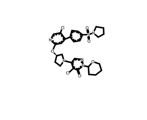 O=c1c(Cl)c(N2CC[C@@H](Oc3cc(-c4ccc(S(=O)(=O)N5CCCC5)cc4)c(Cl)cn3)C2)cnn1C1CCCCO1